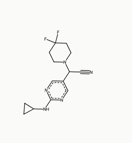 N#CC(c1cnc(NC2CC2)nc1)N1CCC(F)(F)CC1